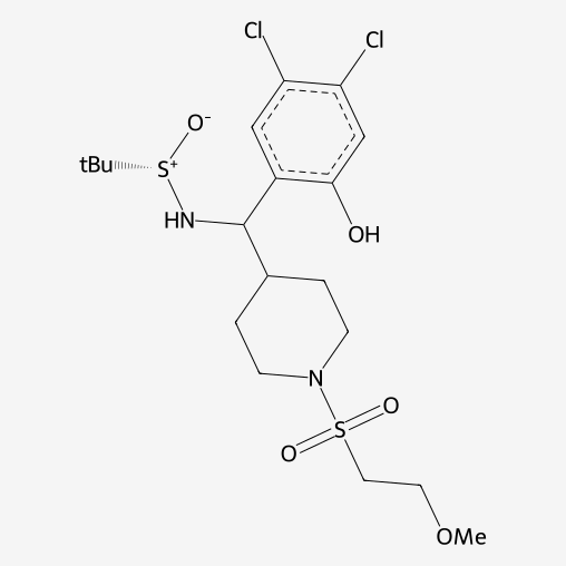 COCCS(=O)(=O)N1CCC(C(N[S@@+]([O-])C(C)(C)C)c2cc(Cl)c(Cl)cc2O)CC1